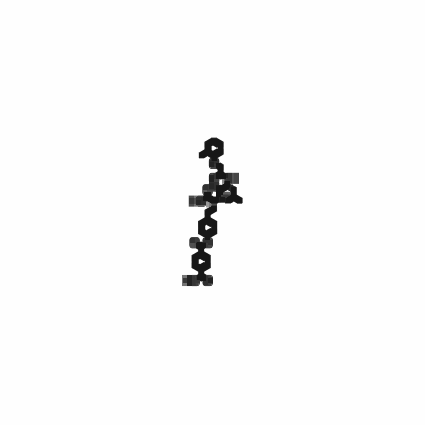 Cc1ccccc1OCC(=O)N[C@@H](CC(C)C)C(=O)N[C@@H](CCc1ccc(OC(=O)c2ccc(C(=O)O)cc2)cc1)C(=O)O